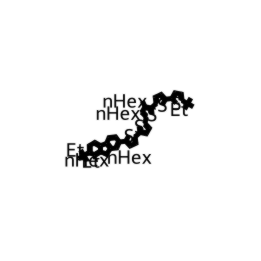 CCCCCCc1c(-c2ccc(-c3ccc(-c4ccc5c(c4)C(CCCCCC)(CCCCCC)c4cc(C(C)(CC)CC)ccc4-5)s3)s2)sc(-c2ccc(-c3ccc(C(C)(C)CC)s3)s2)c1CCCCCC